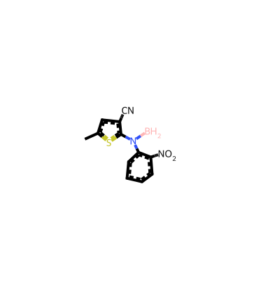 BN(c1ccccc1[N+](=O)[O-])c1sc(C)cc1C#N